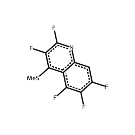 CSc1c(F)c(F)nc2cc(F)c(F)c(F)c12